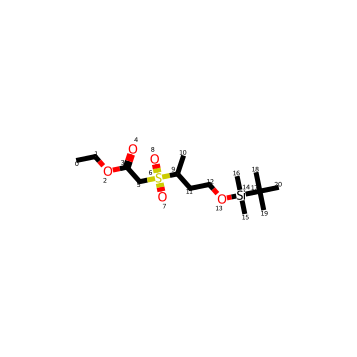 CCOC(=O)CS(=O)(=O)C(C)CCO[Si](C)(C)C(C)(C)C